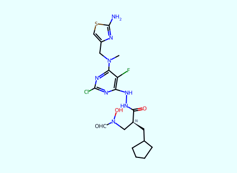 CN(Cc1csc(N)n1)c1nc(Cl)nc(NNC(=O)[C@@H](CC2CCCC2)CN(O)C=O)c1F